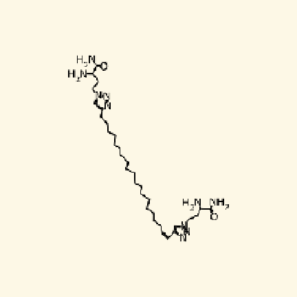 NC(=O)C(N)CCn1cc(/C=C\CCCCCCCCCCCCCCCCCCc2cn(CCC(N)C(N)=O)nn2)nn1